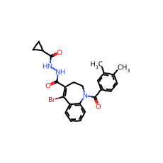 Cc1ccc(C(=O)N2CCC(C(=O)NNC(=O)C3CC3)=C(Br)c3ccccc32)cc1C